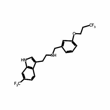 FC(F)(F)CCOc1cccc(CNCCc2c[nH]c3cc(C(F)(F)F)ccc23)c1